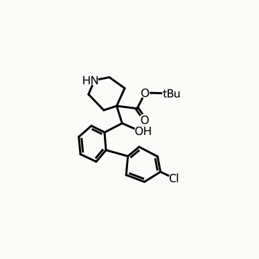 CC(C)(C)OC(=O)C1(C(O)c2ccccc2-c2ccc(Cl)cc2)CCNCC1